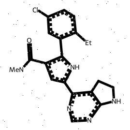 CCc1ccc(Cl)cc1-c1[nH]c(-c2ncnc3c2CCN3)cc1C(=O)NC